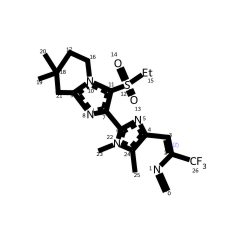 C=N/C(=C\c1nc(-c2nc3n(c2S(=O)(=O)CC)CCC(C)(C)C3)n(C)c1C)C(F)(F)F